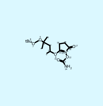 CC(CC(C)(C)OOC(C)(C)C)OC1=[N+](OC(N)=O)C(=O)CC1